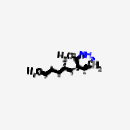 C=C[C@H](CCCCCC)[C@@H](C)N